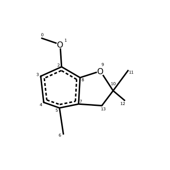 COc1ccc(C)c2c1OC(C)(C)C2